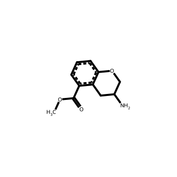 COC(=O)c1cccc2c1CC(N)CO2